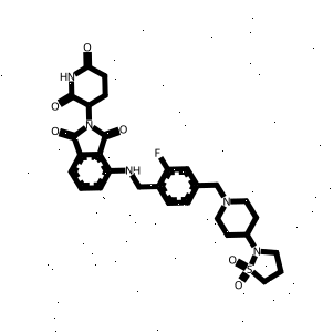 O=C1CCC(N2C(=O)c3cccc(NCc4ccc(CN5CCC(N6CCCS6(=O)=O)CC5)cc4F)c3C2=O)C(=O)N1